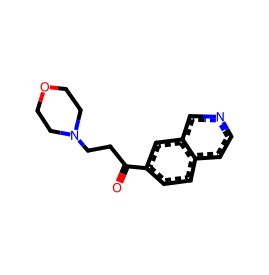 O=C(CCN1CCOCC1)c1ccc2ccncc2c1